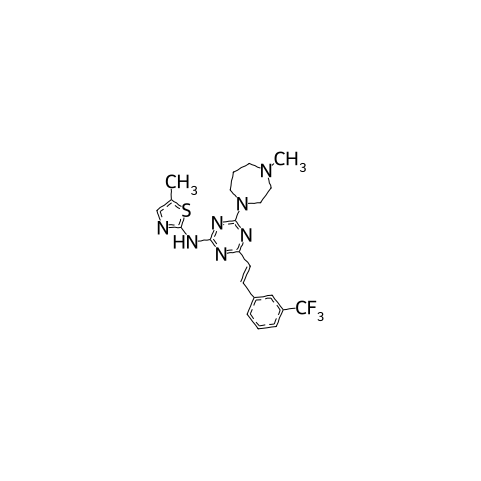 Cc1cnc(Nc2nc(/C=C/c3cccc(C(F)(F)F)c3)nc(N3CCCN(C)CC3)n2)s1